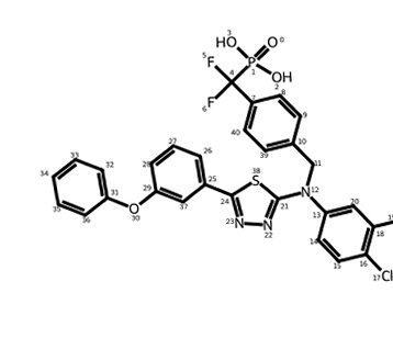 O=P(O)(O)C(F)(F)c1ccc(CN(c2ccc(Cl)c(Cl)c2)c2nnc(-c3cccc(Oc4ccccc4)c3)s2)cc1